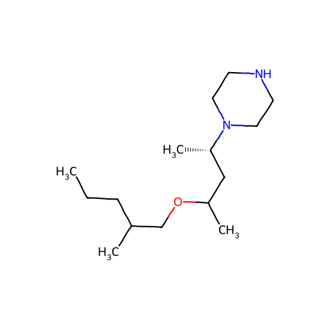 CCCC(C)COC(C)C[C@H](C)N1CCNCC1